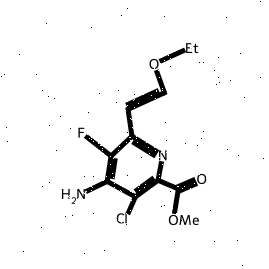 CCOC=Cc1nc(C(=O)OC)c(Cl)c(N)c1F